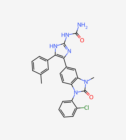 Cc1cccc(-c2[nH]c(NC(N)=O)nc2-c2ccc3c(c2)n(C)c(=O)n3-c2ccccc2Cl)c1